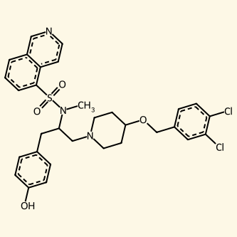 CN(C(Cc1ccc(O)cc1)CN1CCC(OCc2ccc(Cl)c(Cl)c2)CC1)S(=O)(=O)c1cccc2cnccc12